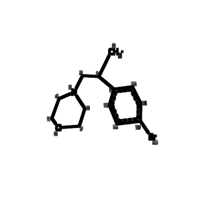 [CH2]C(CN1CCOCC1)c1ccc(Br)cc1